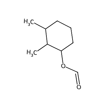 CC1CCCC(OC=O)C1C